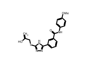 C=C(O)CSc1nnc(-c2cccc(C(=O)Nc3ccc(OC)cc3)c2)[nH]1